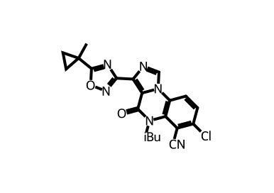 CCC(C)n1c(=O)c2c(-c3noc(C4(C)CC4)n3)ncn2c2ccc(Cl)c(C#N)c21